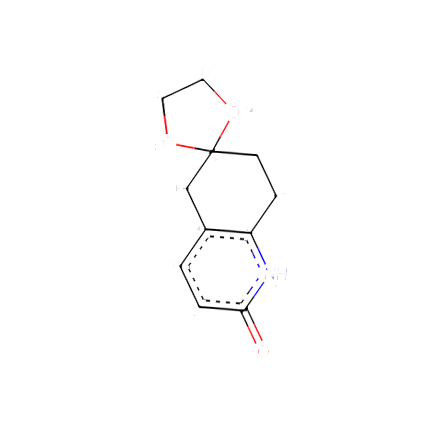 O=c1ccc2c([nH]1)CCC1(C2)OCCO1